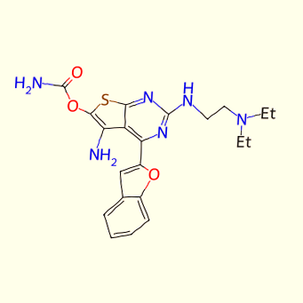 CCN(CC)CCNc1nc(-c2cc3ccccc3o2)c2c(N)c(OC(N)=O)sc2n1